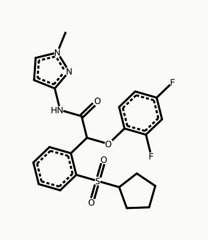 Cn1ccc(NC(=O)C(Oc2ccc(F)cc2F)c2ccccc2S(=O)(=O)C2CCCC2)n1